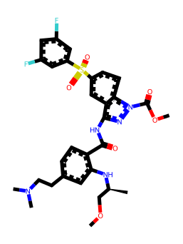 COC[C@H](C)Nc1cc(CCN(C)C)ccc1C(=O)Nc1nn(C(=O)OC)c2ccc(S(=O)(=O)c3cc(F)cc(F)c3)cc12